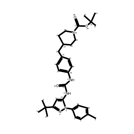 Cc1ccc(-n2nc(C(C)(C)C)cc2NC(=O)Nc2ccc(CC3CCN(C(=O)OC(C)(C)C)CC3)cc2)cc1